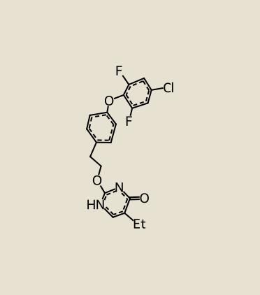 CCc1c[nH]c(OCCc2ccc(Oc3c(F)cc(Cl)cc3F)cc2)nc1=O